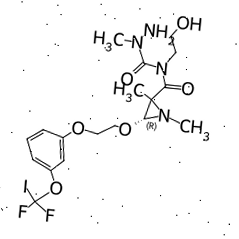 CN(N)C(=O)N(CCO)C(=O)C1(C)[C@@H](OCCOc2cccc(OC(F)(F)I)c2)N1C